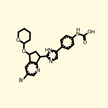 O=C(O)Nc1ccc(-c2cnc(C3CC(OC4CCCCO4)c4cc(Br)cnc43)[nH]2)cc1